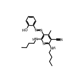 CCCCNc1nc(NCCCC)c(N=Nc2ccccc2O)c(C)c1C#N